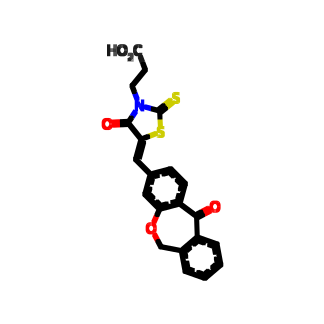 O=C(O)CCN1C(=O)C(=Cc2ccc3c(c2)OCc2ccccc2C3=O)SC1=S